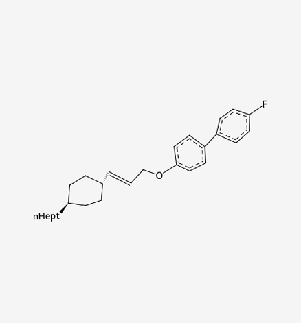 CCCCCCC[C@H]1CC[C@H](/C=C/COc2ccc(-c3ccc(F)cc3)cc2)CC1